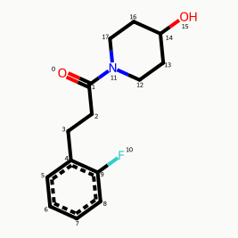 O=C(CCc1ccccc1F)N1CCC(O)CC1